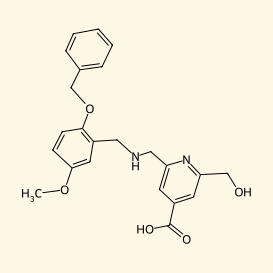 COc1ccc(OCc2ccccc2)c(CNCc2cc(C(=O)O)cc(CO)n2)c1